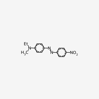 CCN(C)c1ccc(/N=N/c2ccc([N+](=O)[O-])cc2)cc1